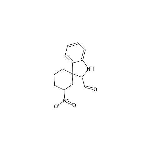 O=CC1Nc2ccccc2C12CCCC([N+](=O)[O-])C2